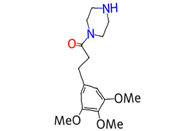 COc1cc(CCC(=O)N2CCNCC2)cc(OC)c1OC